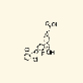 Cl.O=C(O)CCN1CCC2(CC1)COc1c2ccc(OCc2c(Cl)cccc2Cl)c1F